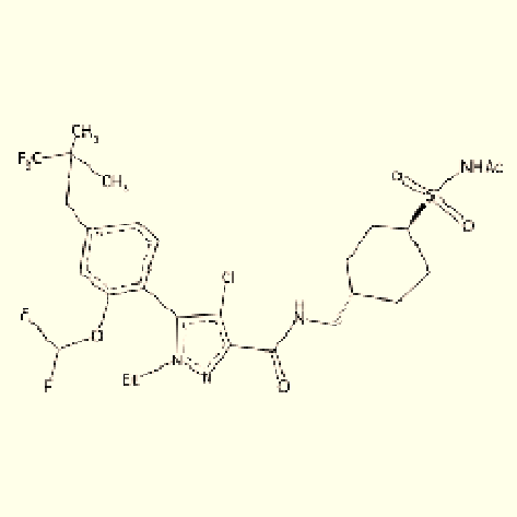 CCn1nc(C(=O)NC[C@H]2CC[C@H](S(=O)(=O)NC(C)=O)CC2)c(Cl)c1-c1ccc(CC(C)(C)C(F)(F)F)cc1OC(F)F